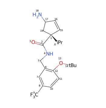 CC(C)[C@]1(C(=O)NCc2cc(C(F)(F)F)ccc2OC(C)(C)C)C=CC(N)C1